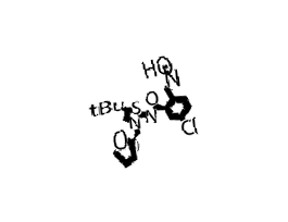 CC(C)(C)c1cn(C[C@H]2CCCO2)c(=NC(=O)c2cc(Cl)ccc2C=NO)s1